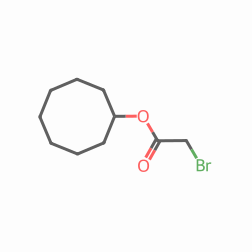 O=C(CBr)OC1CCCCCCC1